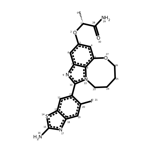 C[C@@H](Oc1cc2c3c(c1)nc(-c1cc4sc(N)nc4cc1F)n3CCCCO2)C(N)=O